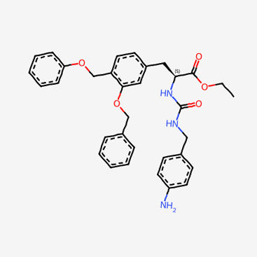 CCOC(=O)[C@H](Cc1ccc(COc2ccccc2)c(OCc2ccccc2)c1)NC(=O)NCc1ccc(N)cc1